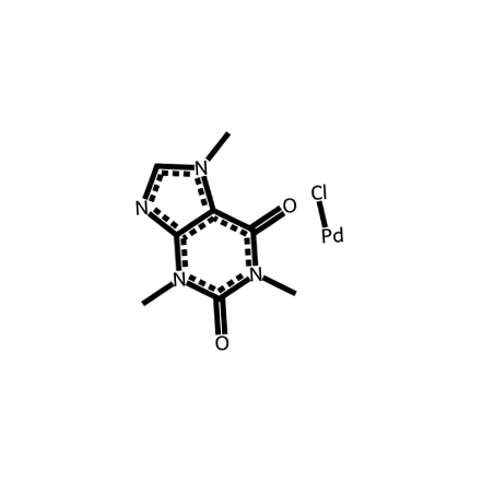 Cn1c(=O)c2c(ncn2C)n(C)c1=O.[Cl][Pd]